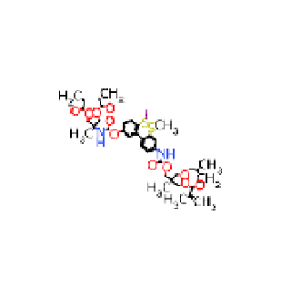 C=CC(=O)OCC(C)(COC(=O)C=C)NC(=O)Oc1ccc(SI)c(-c2ccc(NC(=O)OCC(C)(COCC(=C)C)COC(=O)C(=C)C)cc2SC)c1